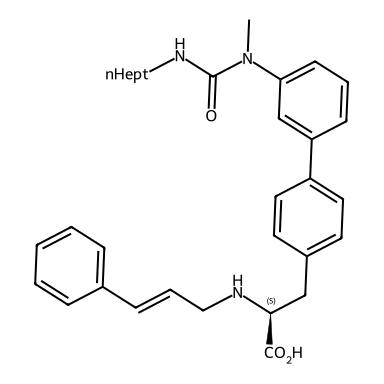 CCCCCCCNC(=O)N(C)c1cccc(-c2ccc(C[C@H](NCC=Cc3ccccc3)C(=O)O)cc2)c1